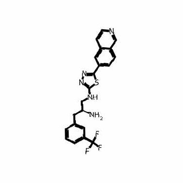 N[C@H](CNc1nnc(-c2ccc3cnccc3c2)s1)Cc1cccc(C(F)(F)F)c1